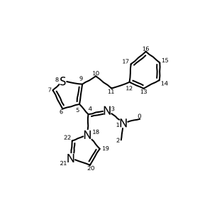 CN(C)N=C(c1ccsc1CCc1ccccc1)n1ccnc1